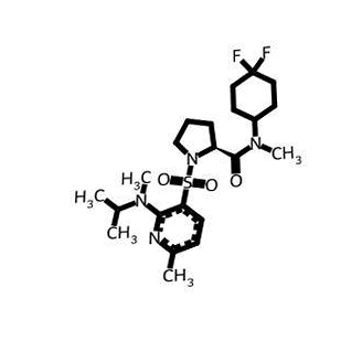 Cc1ccc(S(=O)(=O)N2CCC[C@H]2C(=O)N(C)C2CCC(F)(F)CC2)c(N(C)C(C)C)n1